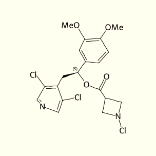 COc1ccc([C@H](Cc2c(Cl)cncc2Cl)OC(=O)C2CN(Cl)C2)cc1OC